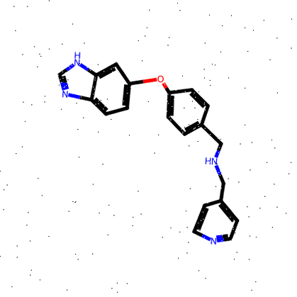 c1cc(CNCc2ccc(Oc3ccc4nc[nH]c4c3)cc2)ccn1